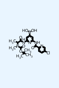 CC(C(=O)Nc1cc(B(O)O)cc(NC(=O)c2ccc(Cl)cn2)n1)N(C)C(=O)OC(C)(C)C